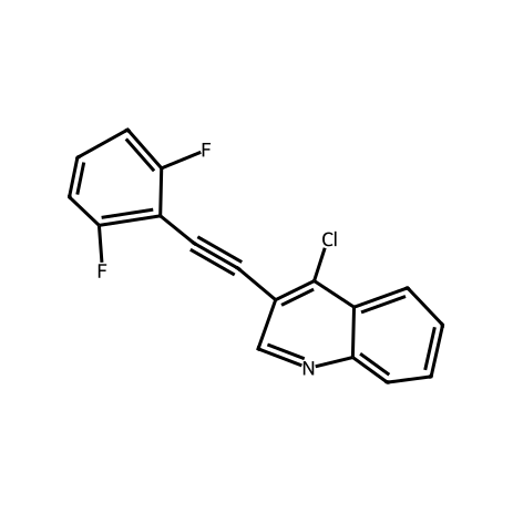 Fc1cccc(F)c1C#Cc1cnc2ccccc2c1Cl